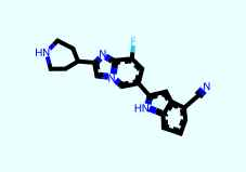 N#Cc1cccc2[nH]c(-c3cc(F)c4nc(C5CCNCC5)cn4c3)cc12